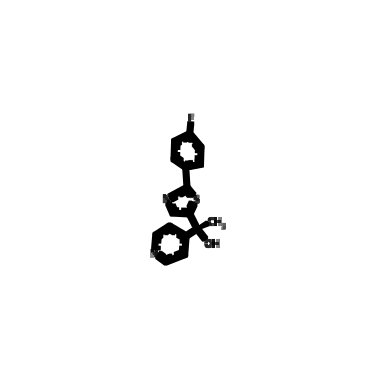 C[C@@](O)(c1ccncc1)c1cnc(-c2ccc(F)cc2)s1